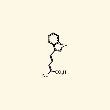 N#CC(=CC=Cc1c[nH]c2ccccc12)C(=O)O